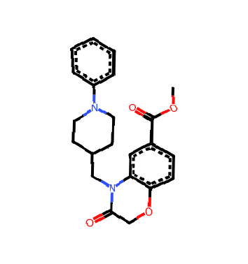 COC(=O)c1ccc2c(c1)N(CC1CCN(c3ccccc3)CC1)C(=O)CO2